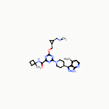 C=NC[C@@H]1C[C@@H]1COc1nc(C(=O)NC2(C)CCC2)nc(N2CCC(c3n[nH]c4nccc(OC)c34)CC2)n1